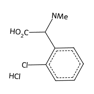 CNC(C(=O)O)c1ccccc1Cl.Cl